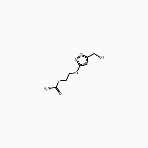 NC(=O)OCCOc1cc(CO)on1